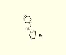 Brc1cncc(NCC2CCOCC2)n1